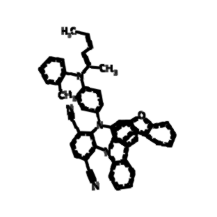 C/C=C\C=C(/C)N(c1ccc(N(c2ccc3c(c2)oc2ccccc23)c2c(C#N)ccc(C#N)c2-n2c3ccccc3c3ccccc32)cc1)c1ccccc1C